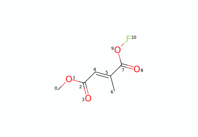 COC(=O)/C=C(\C)C(=O)OF